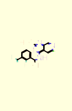 Cc1nc(NC(C)c2cccc(C(F)F)c2F)c2cc(Cl)ncc2n1